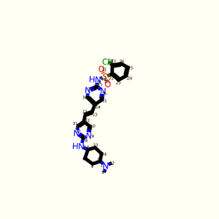 CN(C)C1CCC(Nc2ncc(C=Cc3cnc(NS(=O)(=O)c4ccccc4Cl)nc3)cn2)CC1